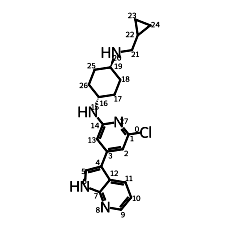 Clc1cc(-c2c[nH]c3ncccc23)cc(N[C@H]2CC[C@H](NCC3CC3)CC2)n1